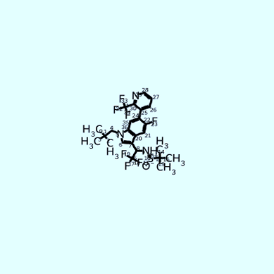 CC(C)(C)Cn1cc(C(N[S@@+]([O-])C(C)(C)C)C(F)(F)F)c2cc(F)c(-c3cccnc3C(F)(F)F)cc21